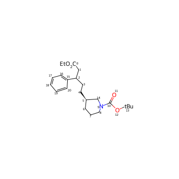 CCOC(=O)CC(CC[C@@H]1CCCN(C(=O)OC(C)(C)C)C1)c1ccccc1